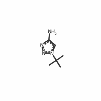 CC(C)(C)n1cc(N)nn1